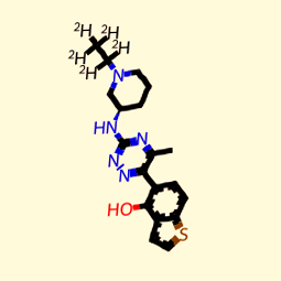 [2H]C([2H])([2H])C([2H])([2H])N1CCC[C@@H](Nc2nnc(-c3ccc4sccc4c3O)c(C)n2)C1